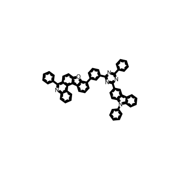 c1ccc(-c2nc(-c3cccc(-c4cccc5c4oc4ccc6c(-c7ccccc7)nc7ccccc7c6c45)c3)nc(-c3ccc4c(c3)c3ccccc3n4-c3ccccc3)n2)cc1